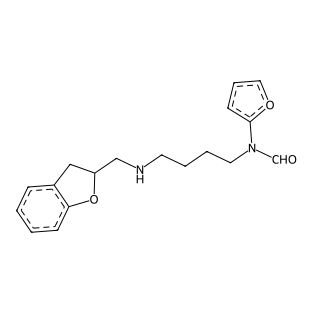 O=CN(CCCCNCC1Cc2ccccc2O1)c1ccco1